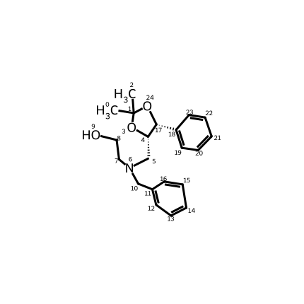 CC1(C)O[C@@H](CN(CCO)Cc2ccccc2)[C@@H](c2ccccc2)O1